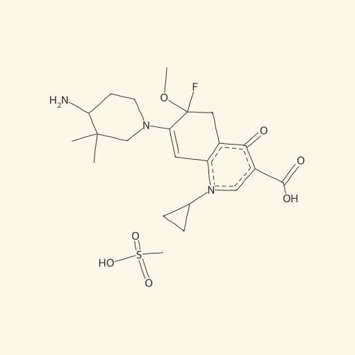 COC1(F)Cc2c(n(C3CC3)cc(C(=O)O)c2=O)C=C1N1CCC(N)C(C)(C)C1.CS(=O)(=O)O